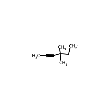 [CH2]CC(C)(C)C#CC